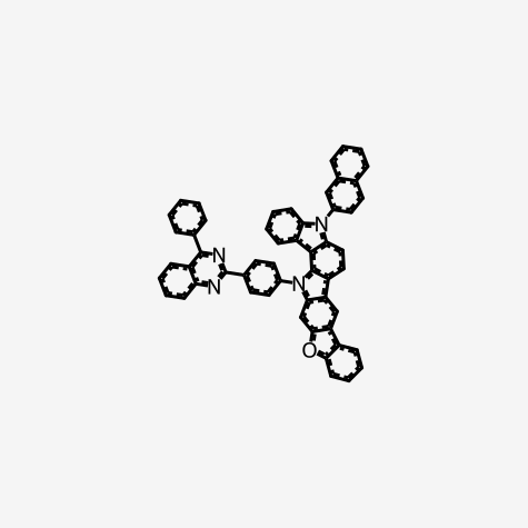 c1ccc(-c2nc(-c3ccc(-n4c5cc6oc7ccccc7c6cc5c5ccc6c(c7ccccc7n6-c6ccc7ccccc7c6)c54)cc3)nc3ccccc23)cc1